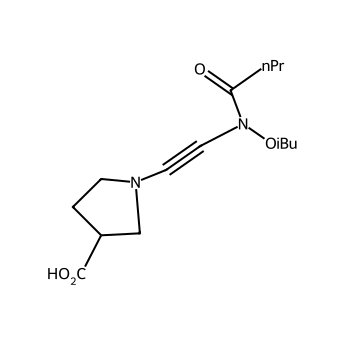 CCCC(=O)N(C#CN1CCC(C(=O)O)C1)OCC(C)C